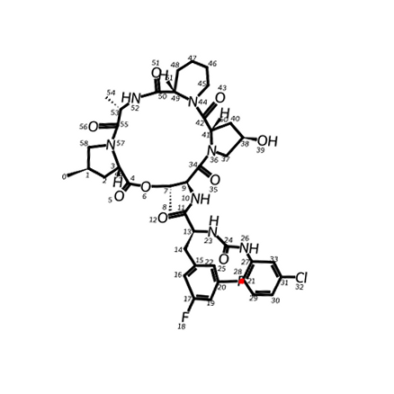 C[C@@H]1C[C@H]2C(=O)O[C@@H](C)[C@H](NC(=O)[C@H](Cc3cc(F)cc(F)c3)NC(=O)Nc3cccc(Cl)c3)C(=O)N3C[C@H](O)C[C@H]3C(=O)N3CCCC[C@H]3C(=O)N[C@@H](C)C(=O)N2C1